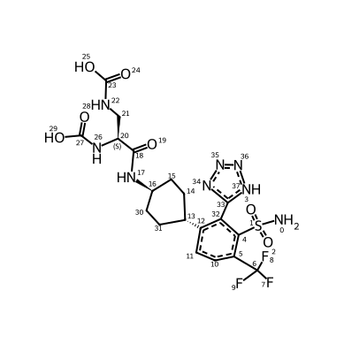 NS(=O)(=O)c1c(C(F)(F)F)ccc([C@H]2CC[C@H](NC(=O)[C@H](CNC(=O)O)NC(=O)O)CC2)c1-c1nnn[nH]1